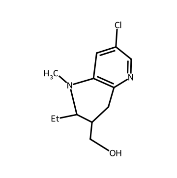 CCC1C(CO)Cc2ncc(Cl)cc2N1C